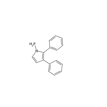 Pn1ccc(-c2ccccc2)c1-c1ccccc1